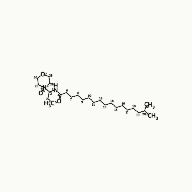 CCC(NC(=O)CCCCCCCCCCCCCCC(C)C)[N+]1([O-])CCOCC1